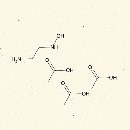 CC(=O)O.CC(=O)O.CC(=O)O.NCCNO